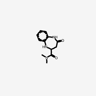 CN(C)C(=O)C1CC(=O)Nc2ccccc2N1